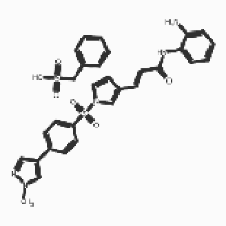 Cn1cc(-c2ccc(S(=O)(=O)n3ccc(/C=C/C(=O)Nc4ccccc4N)c3)cc2)cn1.O=S(=O)(O)Cc1ccccc1